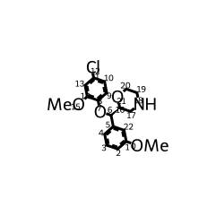 COc1cccc(C(Oc2ccc(Cl)cc2OC)[C@@H]2CNCCO2)c1